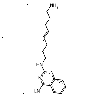 NCCCC=CCCCNc1nc(N)c2ccccc2n1